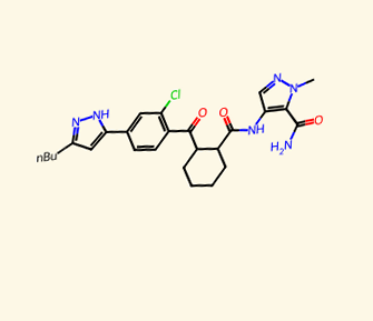 CCCCc1cc(-c2ccc(C(=O)C3CCCCC3C(=O)Nc3cnn(C)c3C(N)=O)c(Cl)c2)[nH]n1